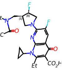 CCc1c(C(=O)O)c(=O)c2cc(F)c(N3C[C@@H](CN(CC)C(=O)C(F)(F)F)[C@@H](F)C3)nc2n1C1CC1